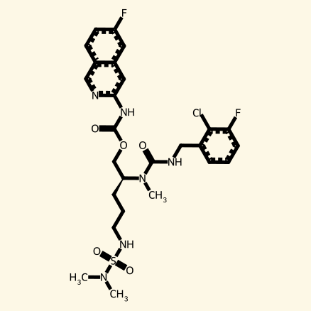 CN(C(=O)NCc1cccc(F)c1Cl)[C@@H](CCCNS(=O)(=O)N(C)C)COC(=O)Nc1cc2cc(F)ccc2cn1